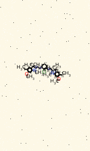 CCc1cc2c(cc1OC)N(C)/C(=C\C=C1/CCCC(/C=C/C3=[N+](C)c4cc(OC)c(CC)cc4C3(C)C)=C1Cl)C2(C)C